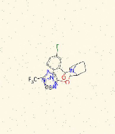 O=C(c1cc(F)ccc1-n1nccn1)N1C2CCC1C(Oc1cnc(C(F)(F)F)cn1)C2